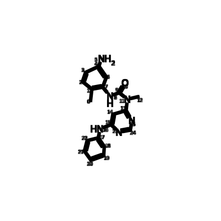 Cc1ccc(N)cc1NC(=O)N(C)c1cc(Nc2ccccc2)ncn1